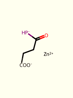 O=C([O-])CCC(=O)[PH-].[Zn+2]